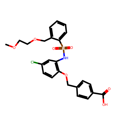 COCCOCc1ccccc1S(=O)(=O)Nc1cc(Cl)ccc1OCc1ccc(C(=O)O)cc1